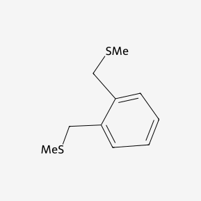 CSCc1ccccc1CSC